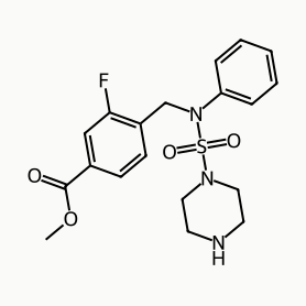 COC(=O)c1ccc(CN(c2ccccc2)S(=O)(=O)N2CCNCC2)c(F)c1